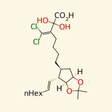 CCCCCCC=C[C@@H]1[C@@H](CCCCC(=C(Cl)Cl)C(O)(O)C(=O)O)C[C@H]2OC(C)(C)O[C@@H]12